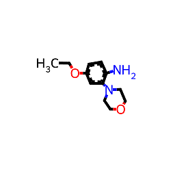 CCOc1ccc(N)c(N2CCOCC2)c1